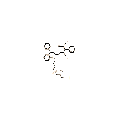 C[N+](C)(CCCCN1/C(=C/C=C(\C#N)C(=C(C#N)C#N)c2ccccc2)C=C(c2ccccc2)c2ccccc21)CC(O)CO